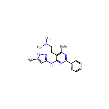 CNc1nc(-c2ccccc2)nc(Nc2cc(C)[nH]n2)c1CCN(C)C